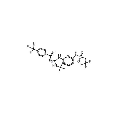 CC(C)(C)N/C(=N/C(=O)c1ccc(C(F)(F)F)cc1)Nc1cccc(NS(=O)(=O)CC(F)(F)F)n1